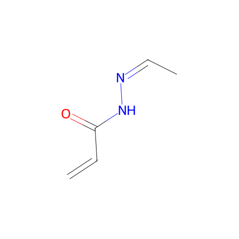 C=CC(=O)N/N=C\C